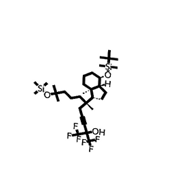 CC(C)(CCC[C@@](C)(CC#CC(O)(C(F)(F)F)C(F)(F)F)[C@H]1CC[C@H]2[C@@H](O[Si](C)(C)C(C)(C)C)CCC[C@]12C)O[Si](C)(C)C